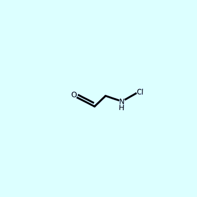 O=CCNCl